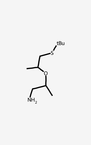 CC(CN)OC(C)CSC(C)(C)C